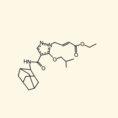 CCOC(=O)C=CCn1ncc(C(=O)NC2C3CC4CC(C3)CC2C4)c1OCC(C)C